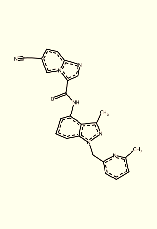 Cc1cccc(Cn2nc(C)c3c(NC(=O)c4cnc5ccc(C#N)cn45)cccc32)n1